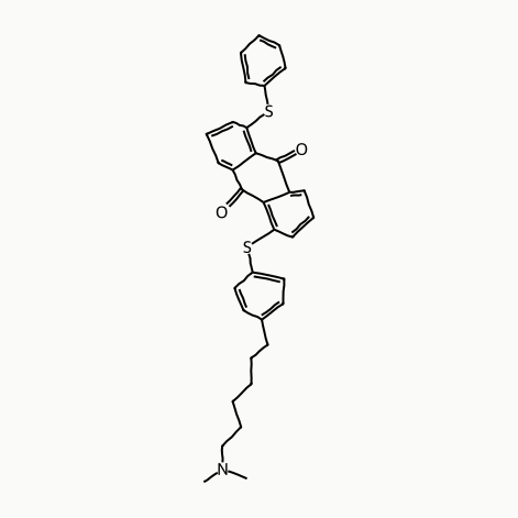 CN(C)CCCCCCc1ccc(Sc2cccc3c2C(=O)c2cccc(Sc4ccccc4)c2C3=O)cc1